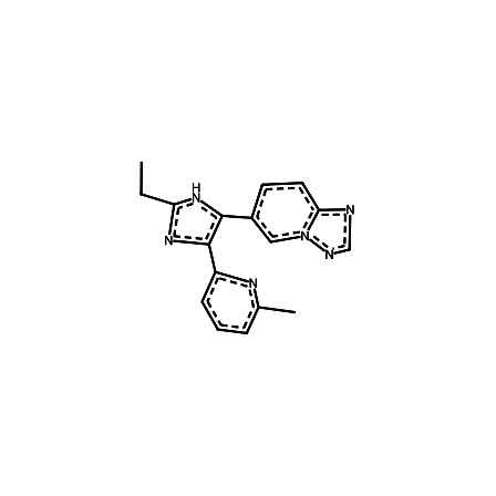 CCc1nc(-c2cccc(C)n2)c(-c2ccc3ncnn3c2)[nH]1